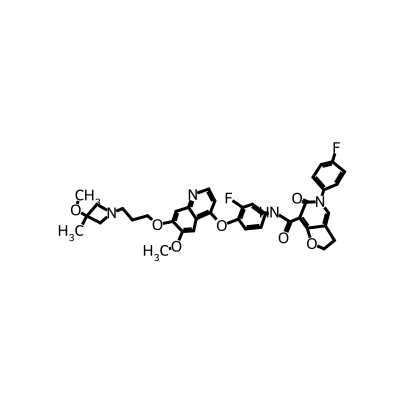 COc1cc2c(Oc3ccc(NC(=O)c4c5c(cn(-c6ccc(F)cc6)c4=O)CCO5)cc3F)ccnc2cc1OCCCN1CC(C)(OC)C1